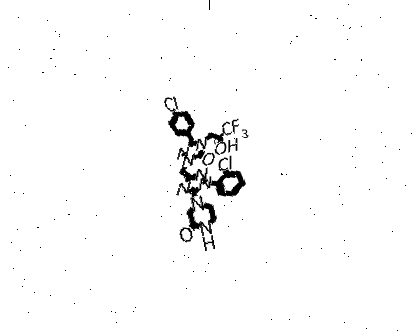 O=C1CN(c2nc(Cn3nc(-c4ccc(Cl)cc4)n(C[C@H](O)C(F)(F)F)c3=O)nn2-c2ccccc2Cl)CCN1